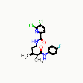 C=C(CCNC(=O)c1ccc(Cl)c(Cl)n1)[C@H](C)C(=O)Nc1ccc(F)cc1